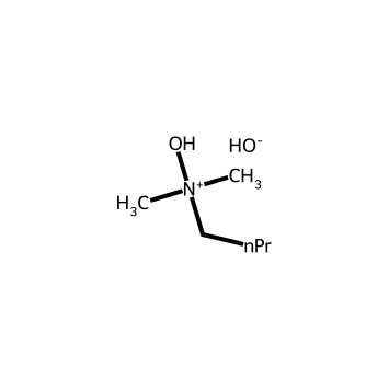 CCCC[N+](C)(C)O.[OH-]